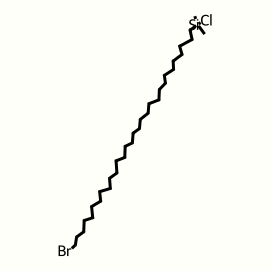 C[Si](C)(Cl)CCCCCCCCCCCCCCCCCCCCCCCCCCCCCCBr